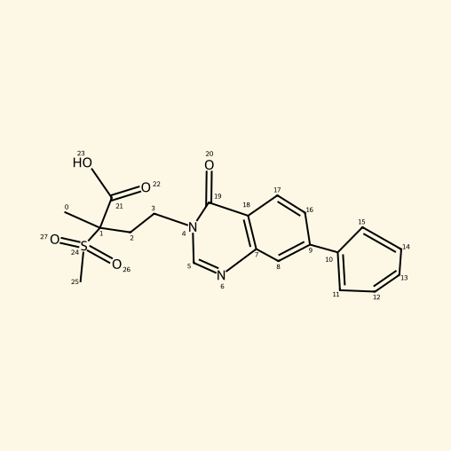 CC(CCn1cnc2cc(-c3ccccc3)ccc2c1=O)(C(=O)O)S(C)(=O)=O